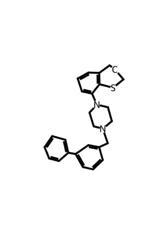 c1ccc(-c2cccc(CN3CCN(c4cccc5c4SCCC5)CC3)c2)cc1